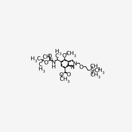 COC(=O)c1cc(C(C)NC(=O)OC(C)(C)C)c(OC)c2cn(COCC[Si](C)(C)C)nc12